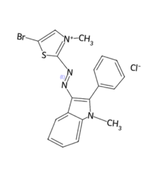 Cn1c(-c2ccccc2)c(/N=N/c2sc(Br)c[n+]2C)c2ccccc21.[Cl-]